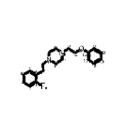 Fc1ccccc1CCN1CCN(CCOc2ccccc2)CC1